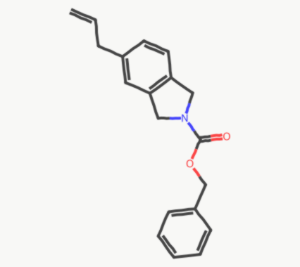 C=CCc1ccc2c(c1)CN(C(=O)OCc1ccccc1)C2